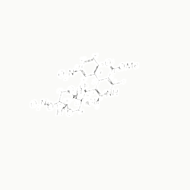 COC(=O)C1=C(C)NC(C)=C(C(=O)[C@@]2(O)CO[C@@H]3[C@@H](O[N+](=O)[O-])CO[C@@H]32)C1c1cccc([N+](=O)[O-])c1